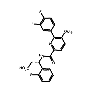 COc1ccc(C(=O)N[C@@H](CC(=O)O)c2ccccc2F)nc1-c1ccc(F)c(F)c1